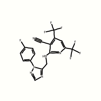 N#Cc1c(C(F)(F)F)cc(C(F)(F)F)nc1NCc1ncnn1-c1ccc(F)cc1